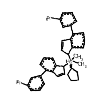 CC(C)c1cccc(-c2cccc3c2C=C[CH]3[Hf]([CH3])([CH3])(=[C]2CCCC2)[CH]2C=Cc3c(-c4cccc(C(C)C)c4)cccc32)c1